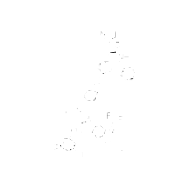 O=C(N[C@@H](c1ccccc1)c1cccc(OCc2ccc(C(=O)N3CCCC[C@H]3C(=O)O[C@@H](Cc3c(Cl)c[n+]([O-])cc3Cl)c3ccc(OC(F)F)c(OCC4CC4)c3)cc2)c1)O[C@H]1CN2CCC1CC2